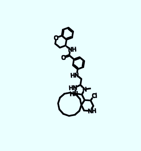 CN1C(CNc2cccc(C(=O)N[C@H]3CCOc4ccccc43)c2)NNC1C1C(Cl)CNCC12CCCCCCCCCCC2